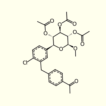 CO[C@H]1O[C@@H](c2ccc(Cl)c(Cc3ccc(C(C)=O)cc3)c2)[C@H](OC(C)=O)[C@@H](OC(C)=O)[C@@H]1OC(C)=O